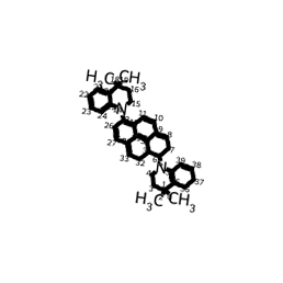 CC1(C)CCN(C2CC=c3ccc4c(N5CCC(C)(C)c6ccccc65)ccc5c4c3C2CC=5)C2=C1CCC=C2